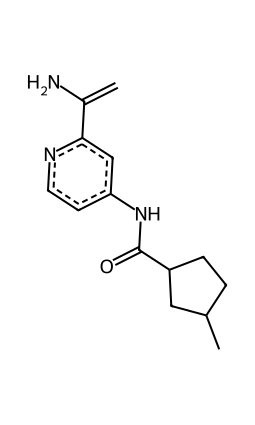 C=C(N)c1cc(NC(=O)C2CCC(C)C2)ccn1